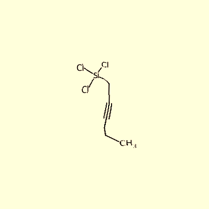 CCC#CC[Si](Cl)(Cl)Cl